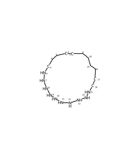 C1CCCCCNNNNNNNNNNCCCCC1